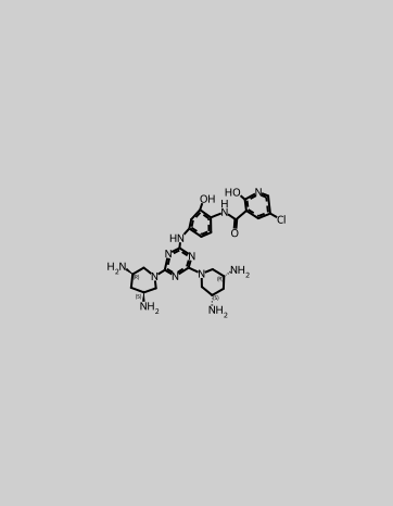 N[C@@H]1C[C@H](N)CN(c2nc(Nc3ccc(NC(=O)c4cc(Cl)cnc4O)c(O)c3)nc(N3C[C@H](N)C[C@H](N)C3)n2)C1